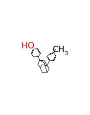 Cc1ccc(C23CC4CC(C2)CC(c2ccc(O)cc2)(C4)C3)cc1